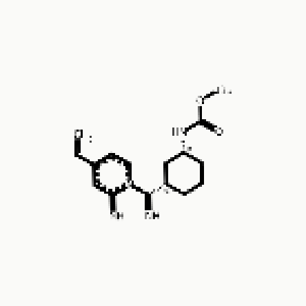 C=Cc1ccn(C(=N)[C@H]2CCC[C@@H](NC(=O)OC(C)(C)C)C2)c(=N)c1